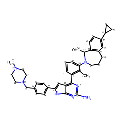 Cc1c(-c2nc(N)nc3[nH]c(-c4ccc(CN5CCN(C)CC5)cc4)cc23)cccc1N1CCCc2cc(C3CC3)ccc2C1C=O